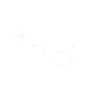 Cc1ccc(NNC(=O)OC(C)(C)C)cc1C(F)(F)F